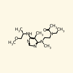 CCN(CCN(C)c1ncnc(N[C@H](C)COC)c1C)C(C)=O